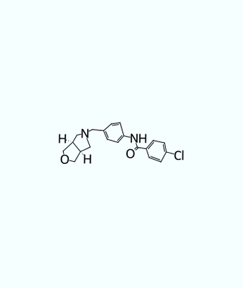 O=C(Nc1ccc(CN2C[C@H]3COC[C@H]3C2)cc1)c1ccc(Cl)cc1